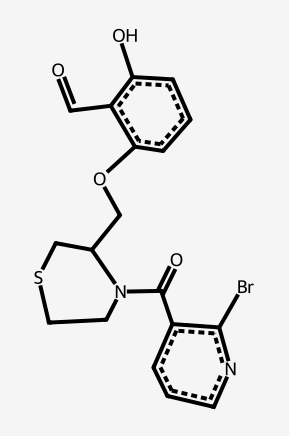 O=Cc1c(O)cccc1OCC1CSCCN1C(=O)c1cccnc1Br